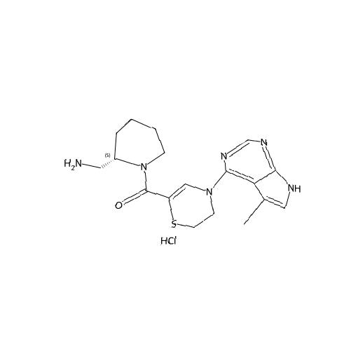 Cc1c[nH]c2ncnc(N3C=C(C(=O)N4CCCC[C@H]4CN)SCC3)c12.Cl